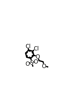 COCCOc1c(S(C)(=O)=O)ccc(Cl)c1Cl